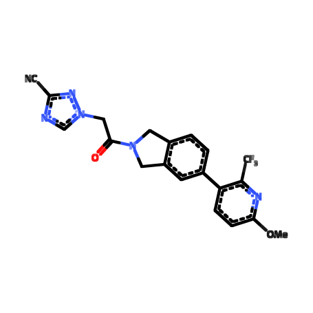 COc1ccc(-c2ccc3c(c2)CN(C(=O)Cn2cnc(C#N)n2)C3)c(C(F)(F)F)n1